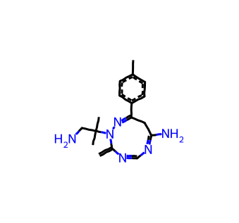 C=C1/N=C\N=C(\N)C/C(c2ccc(C)cc2)=N\N1C(C)(C)CN